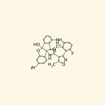 Cc1cccc(F)c1-c1noc(C)c1C(=O)NC12C(=O)c3c(N)cccc3C1(O)Oc1cc(C(C)C)ccc12